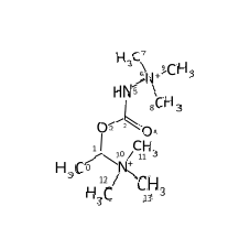 CC(OC(=O)N[N+](C)(C)C)[N+](C)(C)C